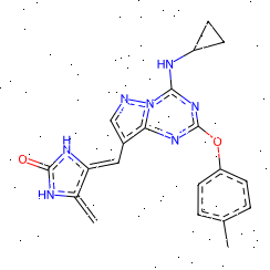 C=c1[nH]c(=O)[nH]/c1=C\c1cnn2c(NC3CC3)nc(Oc3ccc(C)cc3)nc12